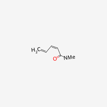 C=C/C=C\C(=O)NC